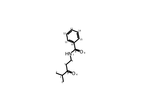 CC(C)C(=O)CCNC(=O)c1ccccc1